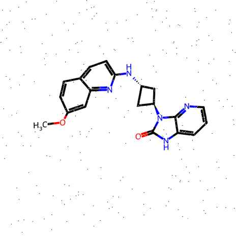 COc1ccc2ccc(N[C@H]3C[C@H](n4c(=O)[nH]c5cccnc54)C3)nc2c1